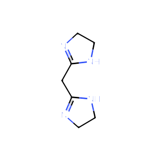 C1CNC(CC2=NCCN2)=N1